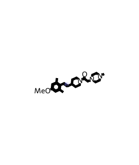 COc1cc(C)c(/C=C/C2CCN(C(=O)CN3CCN(C)CC3)CC2)c(C)c1